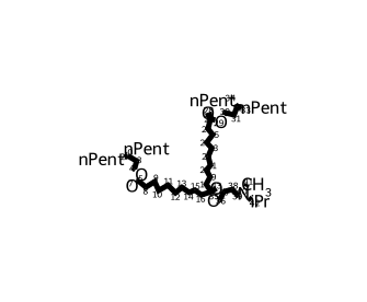 CCCCCC(CCCCC)CCOC(=O)CCCCCCCCCC1(CCCCCCCCCC(=O)OCCC(CCCCC)CCCCC)OCC(CCN(C)C(C)C)O1